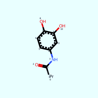 CC(C)C(=O)Nc1ccc(O)c(O)c1